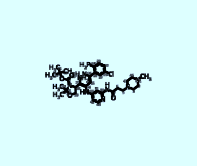 CN1CCN(CCC(=O)Nc2cc(NC(/C=C(\N)c3cc(Cl)ccc3P)=C(/N)C3COC(C)(C)N3C(=O)OC(C)(C)C)ccn2)CC1